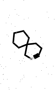 C1#[N+]CC2(CC1)CCCCC2